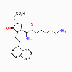 NCCCCCC(=O)C(N)[C@@H]1C[C@@H](CC(=O)O)C(=O)N1CCc1cccc2ccccc12